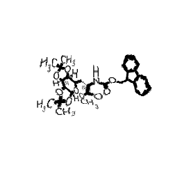 COC(=O)[C@H](CC1O[C@@H]2OC(C)(C)OC2[C@H]2OC(C)(C)O[C@@H]12)NC(=O)OCC1c2ccccc2-c2ccccc21